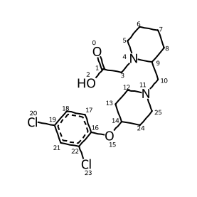 O=C(O)CN1CCCCC1CN1CCC(Oc2ccc(Cl)cc2Cl)CC1